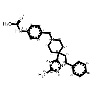 CC(=O)Nc1ccc(CN2CCC(CCc3ccccc3)(c3nnc(C)s3)CC2)cc1